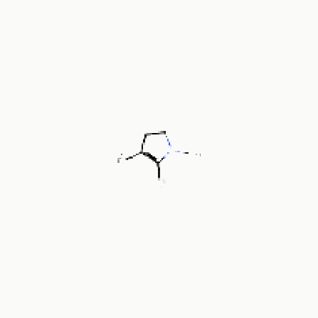 CC(C)C1=C(C(C)(C)C)N(C(C)(C)C)CC1